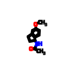 COc1ccc2c(c1)CCC2NC(C)=O